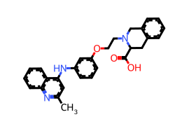 Cc1cc(Nc2cccc(OCCN3Cc4ccccc4CC3C(=O)O)c2)c2ccccc2n1